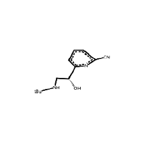 CC(C)(C)NC[C@@H](O)c1cccc(C#N)n1